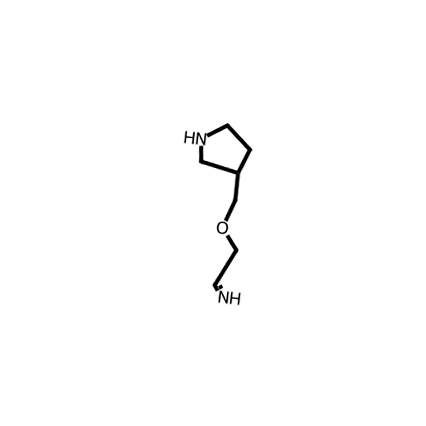 N=CCOCC1CCNC1